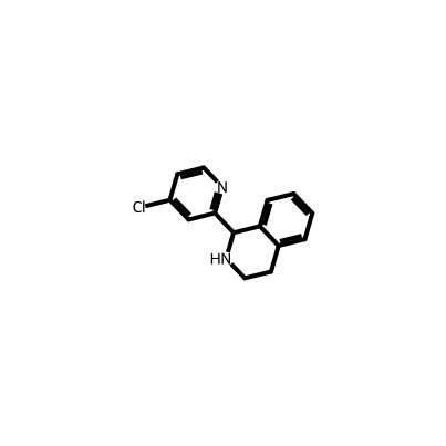 Clc1ccnc(C2NCCc3ccccc32)c1